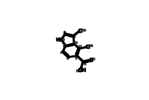 O=C(O)c1ccc2[nH]cc(Cl)c2c1Cl